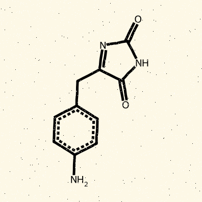 Nc1ccc(CC2=NC(=O)NC2=O)cc1